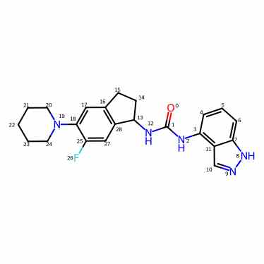 O=C(Nc1cccc2[nH]ncc12)NC1CCc2cc(N3CCCCC3)c(F)cc21